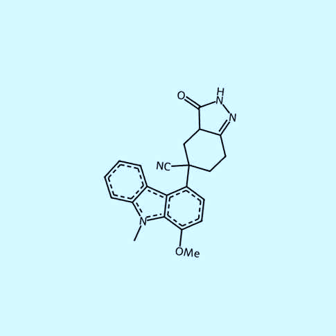 COc1ccc(C2(C#N)CCC3=NNC(=O)C3C2)c2c3ccccc3n(C)c12